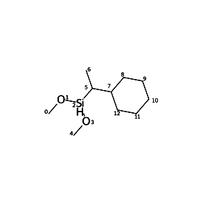 CO[SiH](OC)C(C)C1CCCCC1